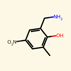 Cc1cc([N+](=O)[O-])cc(CN)c1O